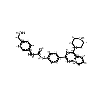 O=C(Nc1ccc(-c2nc(N3CCOCC3)c3cccn3n2)cc1)Nc1ccc(CO)nc1